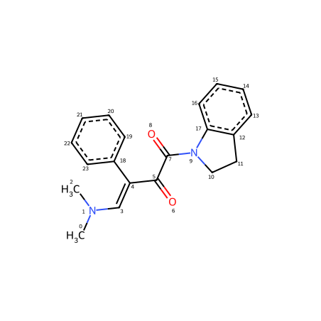 CN(C)/C=C(/C(=O)C(=O)N1CCc2ccccc21)c1ccccc1